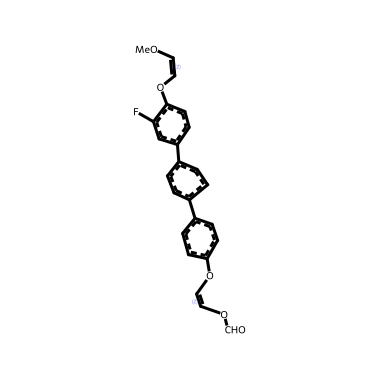 CO/C=C\Oc1ccc(-c2ccc(-c3ccc(O/C=C\OC=O)cc3)cc2)cc1F